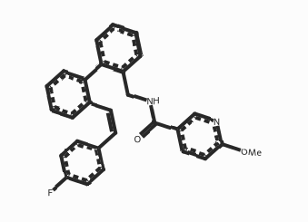 COc1ccc(C(=O)NCc2ccccc2-c2ccccc2C=Cc2ccc(F)cc2)cn1